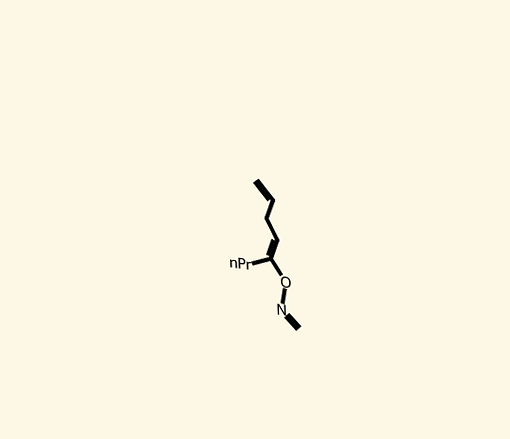 C=CC/C=C(\CCC)ON=C